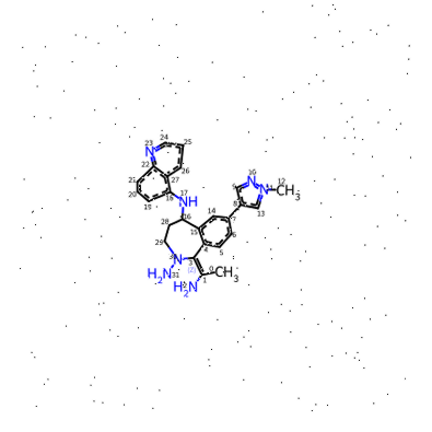 C/C(N)=C1\c2ccc(-c3cnn(C)c3)cc2C(Nc2cccc3ncccc23)CCN1N